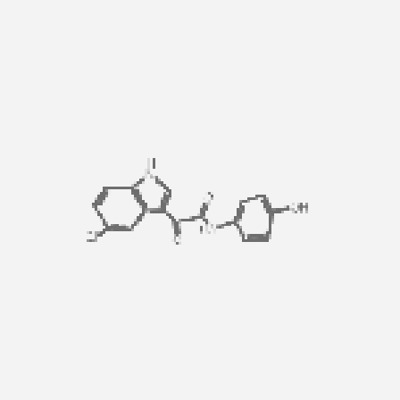 O=C(Nc1ccc(O)cc1)C(=O)c1c[nH]c2ccc(Cl)cc12